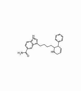 NC(=O)c1ccc2[nH]cc(CCCCC3NCC=CC3c3ccccc3)c2c1